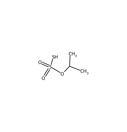 CC(C)OS(=O)(=O)S